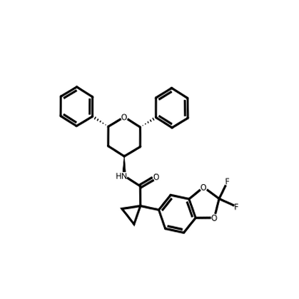 O=C(N[C@@H]1C[C@@H](c2ccccc2)O[C@@H](c2ccccc2)C1)C1(c2ccc3c(c2)OC(F)(F)O3)CC1